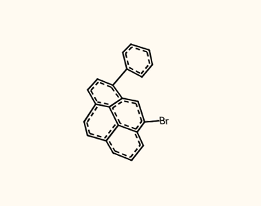 Brc1cc2c(-c3ccccc3)ccc3ccc4cccc1c4c32